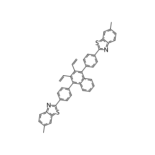 C=Cc1c(C=C)c(-c2ccc(-c3nc4ccc(C)cc4s3)cc2)c2ccccc2c1-c1ccc(-c2nc3ccc(C)cc3s2)cc1